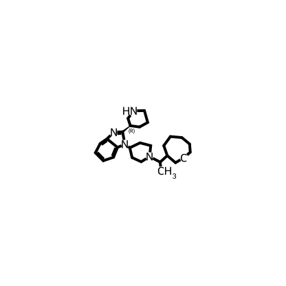 CC(C1CCCCCCC1)N1CCC(n2c([C@@H]3CCCNC3)nc3ccccc32)CC1